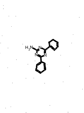 Nc1nc(C2=CC=CCC2)nc(-c2ccccc2)n1